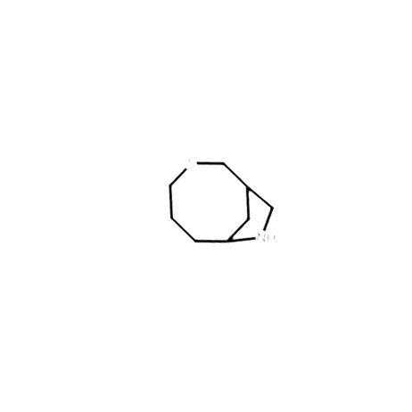 C1CSCC2CNC(C1)C2